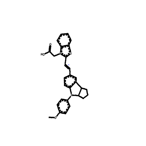 COc1ccc(N2c3ccc(/C=C/c4sc5ccccc5[n+]4CC(=O)O)cc3C3CCCC32)cc1